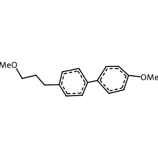 COCCCc1ccc(-c2ccc(OC)cc2)cc1